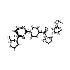 Cc1nc([C@@H]2CCON2C(=O)C2CCN(c3nccc(N4CCCC4=O)n3)CC2)cs1